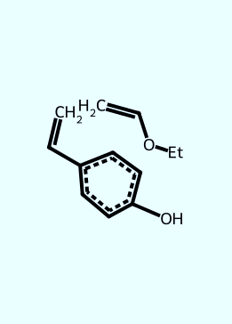 C=COCC.C=Cc1ccc(O)cc1